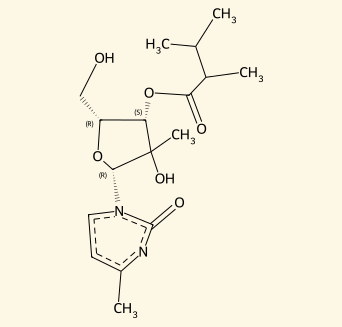 Cc1ccn([C@@H]2O[C@H](CO)[C@H](OC(=O)C(C)C(C)C)C2(C)O)c(=O)n1